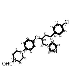 O=CN1CCN(c2ccc(OC(CCc3ccc(Cl)cc3)Cn3ccnc3)cc2)CC1